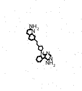 Nc1ccc2ccc(CCC3CCC(n4c5ccccc5c5c(N)ncnc54)C3)cc2n1